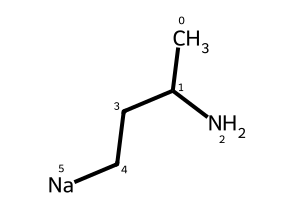 CC(N)C[CH2][Na]